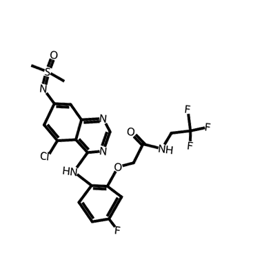 CS(C)(=O)=Nc1cc(Cl)c2c(Nc3ccc(F)cc3OCC(=O)NCC(F)(F)F)ncnc2c1